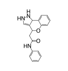 O=C(CC1Oc2ccccc2C2NNC=C12)Nc1ccccc1